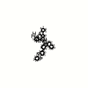 CC1(C)C(c2ccccc2)=CC2=NC(n3c4ccc(-c5ccc6c(c5)Sc5ccccc5S6)cc4c4c5ccccc5ccc43)NC(c3ccccc3)=C21